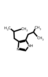 CC(C)Cc1nc[nH]c1CC(C)C